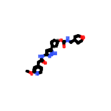 COc1cc(CC(=O)Nc2cc([C@@H]3CC[C@H](OC(=O)NCC4CCOCC4)C3)[nH]n2)ccn1